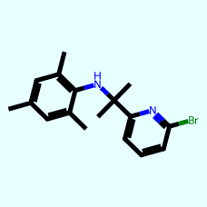 Cc1cc(C)c(NC(C)(C)c2cccc(Br)n2)c(C)c1